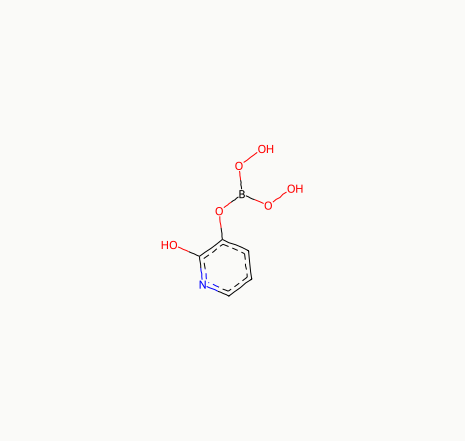 OOB(OO)Oc1cccnc1O